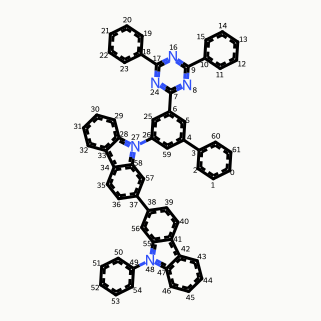 c1ccc(-c2cc(-c3nc(-c4ccccc4)nc(-c4ccccc4)n3)cc(-n3c4ccccc4c4ccc(-c5ccc6c7ccccc7n(-c7ccccc7)c6c5)cc43)c2)cc1